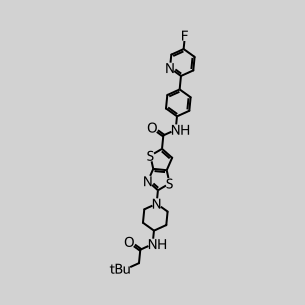 CC(C)(C)CC(=O)NC1CCN(c2nc3sc(C(=O)Nc4ccc(-c5ccc(F)cn5)cc4)cc3s2)CC1